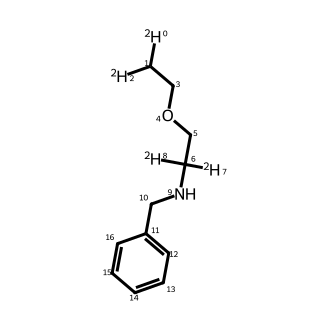 [2H]C([2H])COCC([2H])([2H])NCc1ccccc1